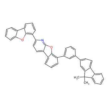 CC1(C)c2ccccc2-c2ccc(-c3cccc(-c4cccc5c4oc4nc(-c6cccc7c6oc6ccccc67)ccc45)c3)cc21